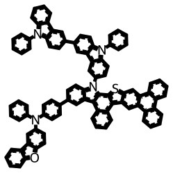 c1ccc(N(c2ccc(-c3ccc4c(c3)c3c5ccccc5c5c6cc7c8ccccc8c8ccccc8c7cc6sc5c3n4-c3ccc4c(c3)c3cc(-c5ccc6c(c5)c5ccccc5n6-c5ccccc5)ccc3n4-c3ccccc3)cc2)c2ccc3oc4ccccc4c3c2)cc1